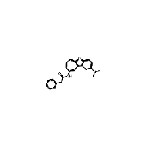 CN(C)C1=CC=c2oc3c(c2C1)C=C(NC(=O)Cc1ccccc1)C=CC=3